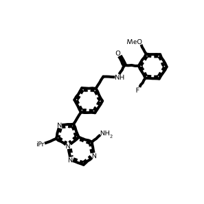 COc1cccc(F)c1C(=O)NCc1ccc(-c2nc(C(C)C)n3ncnc(N)c23)cc1